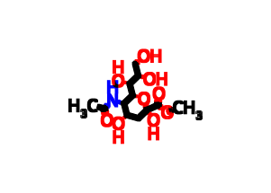 COC(=O)C1(O)C[C@H](O)[C@@H](NC(C)=O)[C@H]([C@H](O)[C@H](O)CO)O1